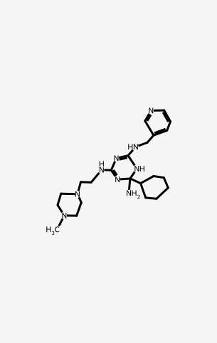 CN1CCN(CCNC2=NC(N)(C3CCCCC3)NC(NCc3cccnc3)=N2)CC1